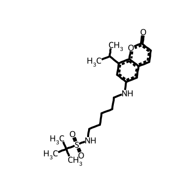 CC(C)c1cc(NCCCCCNS(=O)(=O)C(C)(C)C)cc2ccc(=O)oc12